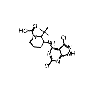 CC(C)(C)C1C(Nc2nc(Cl)nc3[nH]nc(Cl)c23)CCCN1C(=O)O